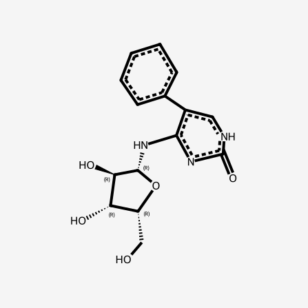 O=c1nc(N[C@@H]2O[C@H](CO)[C@H](O)[C@H]2O)c(-c2ccccc2)c[nH]1